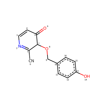 N#CC1=NC=CC(=O)C1OCc1ccc(O)cc1